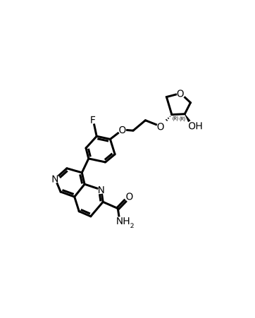 NC(=O)c1ccc2cncc(-c3ccc(OCCO[C@@H]4COC[C@H]4O)c(F)c3)c2n1